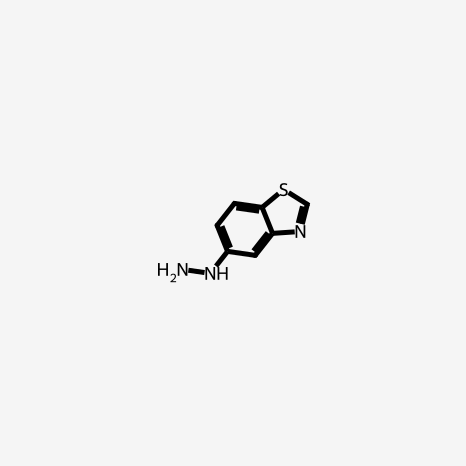 NNc1ccc2scnc2c1